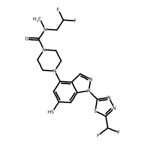 CN(CC(F)F)C(=O)N1CCN(c2cc(S)cc3c2cnn3-c2nnc(C(F)F)s2)CC1